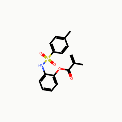 C=C(C)C(=O)Oc1ccccc1NS(=O)(=O)c1ccc(C)cc1